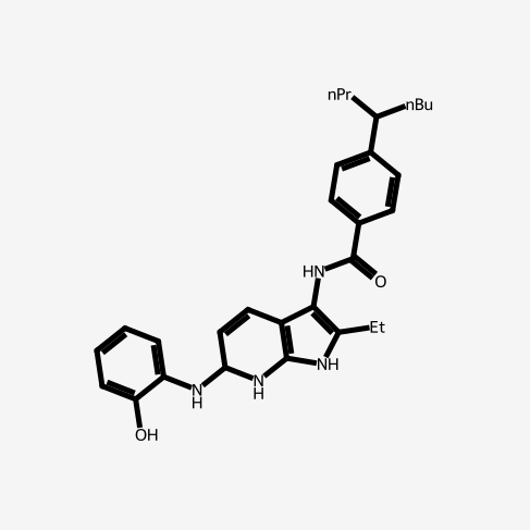 CCCCC(CCC)c1ccc(C(=O)Nc2c(CC)[nH]c3c2C=CC(Nc2ccccc2O)N3)cc1